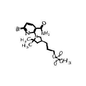 CC1(C)CC(CCCOS(C)(=O)=O)CN1c1nc(Br)ccc1C(N)=O